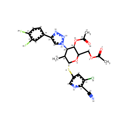 CC(=O)OCC1O[C@H](Sc2cnc(C#N)c(Cl)c2)C(C)[C@@H](n2cc(-c3ccc(F)c(F)c3)nn2)[C@H]1OC(C)=O